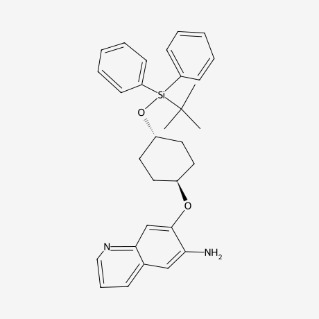 CC(C)(C)[Si](O[C@H]1CC[C@H](Oc2cc3ncccc3cc2N)CC1)(c1ccccc1)c1ccccc1